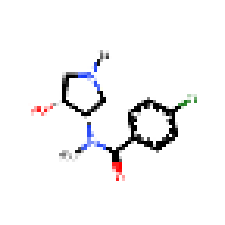 CCCCN(C(=O)c1ccc(Cl)cc1)[C@@H]1CN(CC)C[C@H]1O